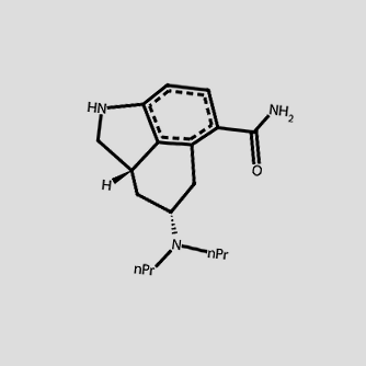 CCCN(CCC)[C@H]1Cc2c(C(N)=O)ccc3c2[C@@H](CN3)C1